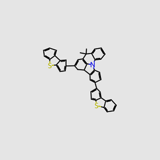 CC1(C)C2=C3C(CC(c4ccc5sc6ccccc6c5c4)=C2)c2cc(-c4ccc5sc6ccccc6c5c4)ccc2N3c2ccccc21